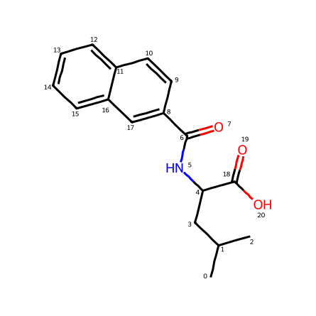 CC(C)CC(NC(=O)c1ccc2ccccc2c1)C(=O)O